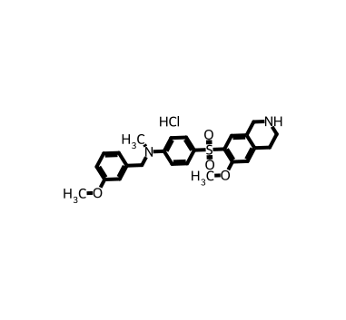 COc1cccc(CN(C)c2ccc(S(=O)(=O)c3cc4c(cc3OC)CCNC4)cc2)c1.Cl